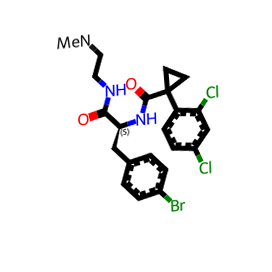 CNCCNC(=O)[C@H](Cc1ccc(Br)cc1)NC(=O)C1(c2ccc(Cl)cc2Cl)CC1